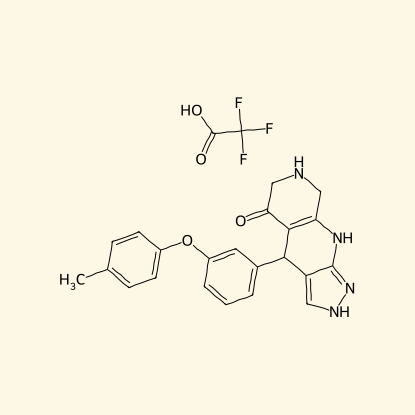 Cc1ccc(Oc2cccc(C3C4=C(CNCC4=O)Nc4n[nH]cc43)c2)cc1.O=C(O)C(F)(F)F